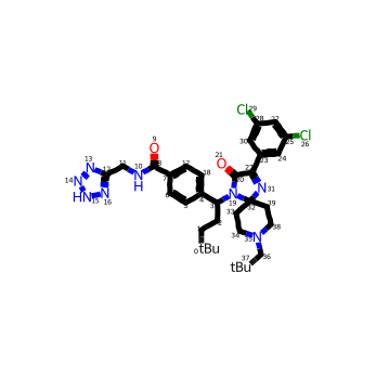 CC(C)(C)CCC(c1ccc(C(=O)NCc2nn[nH]n2)cc1)N1C(=O)C(c2cc(Cl)cc(Cl)c2)=NC12CCN(CC(C)(C)C)CC2